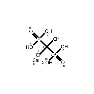 O=P(O)(O)C(Cl)(Cl)P(=O)(O)O.[CaH2]